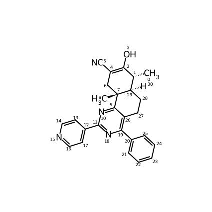 C[C@H]1C(O)=C(C#N)C[C@@]2(C)c3nc(-c4ccncc4)nc(-c4ccccc4)c3CC[C@H]12